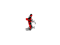 Cn1c(=O)n(-c2ccc(OCc3ccccc3)nc2OCc2ccccc2)c2cccc(N3CCC4(CC[C@@H](c5ccc(NC(=O)OC(C)(C)C)nc5)OC4)CC3)c21